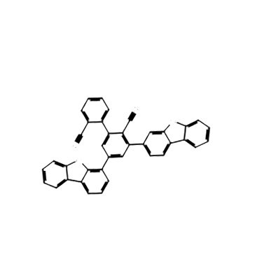 N#Cc1ccccc1-c1cc(-c2cccc3c2oc2ccccc23)cc(-c2ccc3c(c2)oc2ccccc23)c1C#N